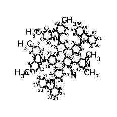 Cc1ccc2c(c1)c1cc(C)ccc1n2-c1ccc(-c2c(-c3ccc(-n4c5ccccc5c5ccccc54)cc3)c(C#N)c(-c3cc(C)nc(C)c3)c(-c3ccc(-n4c5ccccc5c5ccccc54)cc3)c2-c2ccc(-n3c4ccc(C)cc4c4cc(C)ccc43)cc2)cc1